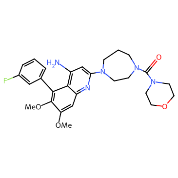 COc1cc2nc(N3CCCN(C(=O)N4CCOCC4)CC3)cc(N)c2c(-c2cccc(F)c2)c1OC